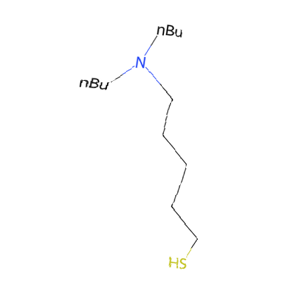 CCCCN(CCCC)CCCCCS